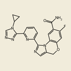 NC(=O)c1cc2c(cc1F)OCc1cnc(-c3cccc(-c4nncn4C4CC4)n3)n1-2